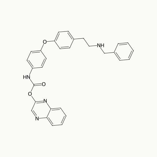 O=C(Nc1ccc(Oc2ccc(CCNCc3ccccc3)cc2)cc1)Oc1cnc2ccccc2n1